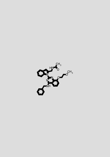 COCCOc1cccc2c(NCc3ccccc3)nc(-n3c(CNC(C)=O)cc4ccccc43)nc12